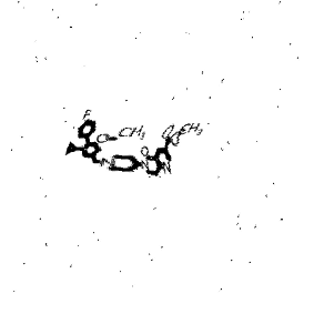 CCOc1cc(CN2CCC(N3CCc4ncc(C(=O)OC)cc4C3=O)CC2)cc(C2CC2)c1-c1ccc(F)cc1